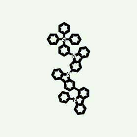 c1ccc(-n2c3ccccc3c3cccc(-c4ccc5c6ccccc6n(-c6ccc7c8ccccc8n(-c8cccc([Si](c9ccccc9)(c9ccccc9)c9ccccc9)c8)c7c6)c5c4)c32)cc1